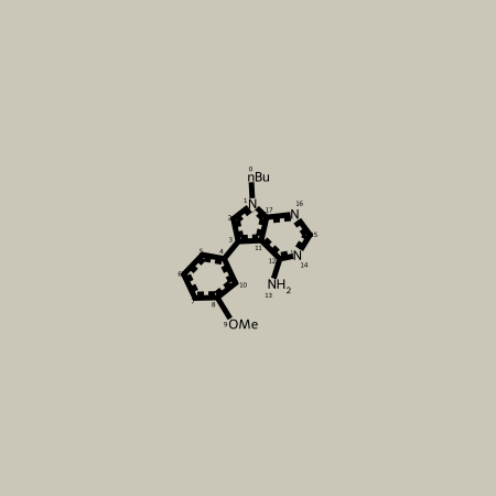 CCCCn1cc(-c2cccc(OC)c2)c2c(N)ncnc21